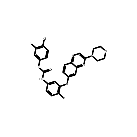 O=C(Nc1ccc(Cl)c(F)c1)Nc1ccc(F)c(Oc2ccc3ncc(N4CCOCC4)nc3c2)c1